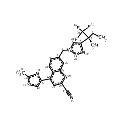 CC[C@](O)(c1cn(Cc2ccc3c(-c4csc(C)n4)cc(C#N)nc3c2)nn1)C(F)(F)F